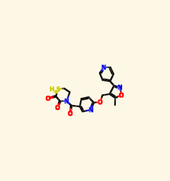 Cc1onc(-c2ccncc2)c1COc1ccc(C(=O)N2CC[SH4]C(=O)C2=O)cn1